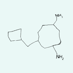 NC1CCC(N)CC(CC2CCC2)CC1